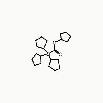 O=C(OC1CCCC1)[Si](C1CCCC1)(C1CCCC1)C1CCCC1